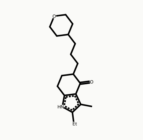 CCc1[nH]c2c(c1C)C(=O)C(CCCC1CCOCC1)CC2